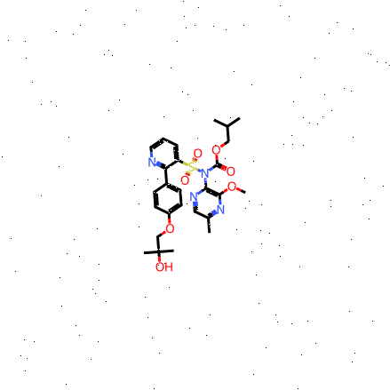 COc1nc(C)cnc1N(C(=O)OCC(C)C)S(=O)(=O)c1cccnc1-c1ccc(OCC(C)(C)O)cc1